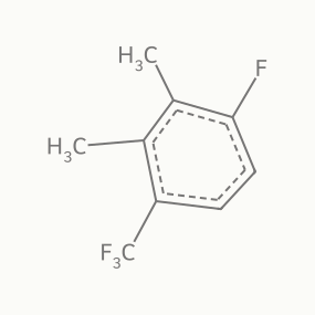 Cc1c(F)ccc(C(F)(F)F)c1C